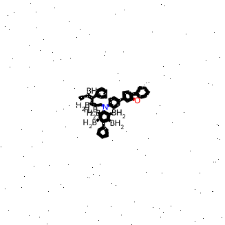 B/C(CN(c1ccc(-c2ccc3c(c2)oc2ccccc23)cc1)c1c(B)c(B)c(-c2ccccc2)c(B)c1B)=C(B)/C(=C(/B)C#C)c1ccccc1